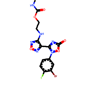 CC(C)(C)NC(=O)OCCNc1nonc1-c1nc(=O)on1-c1ccc(F)c(Br)c1